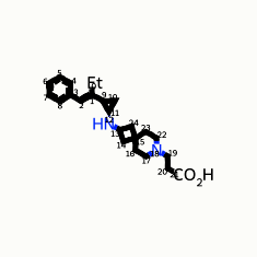 CCC(=Cc1ccccc1)C1C[C@@H]1NC1CC2(CCN(CCC(=O)O)CC2)C1